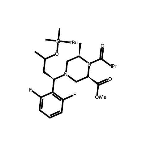 COC(=O)[C@H]1CN([C@H](CC(C)O[Si](C)(C)C(C)(C)C)c2c(F)cccc2F)C[C@@H](C)N1C(=O)C(C)C